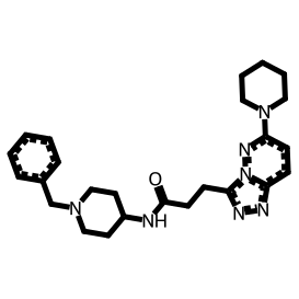 O=C(CCc1nnc2ccc(N3CCCCC3)nn12)NC1CCN(Cc2ccccc2)CC1